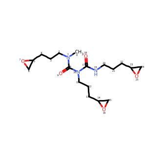 CN(CCCC1CO1)C(=O)N(CCCC1CO1)C(=O)NCCCC1CO1